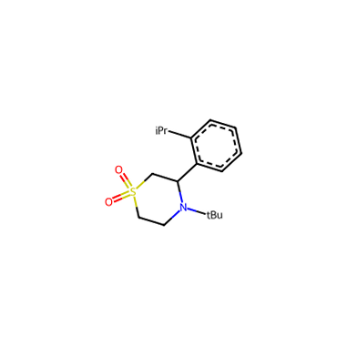 CC(C)c1ccccc1C1CS(=O)(=O)CCN1C(C)(C)C